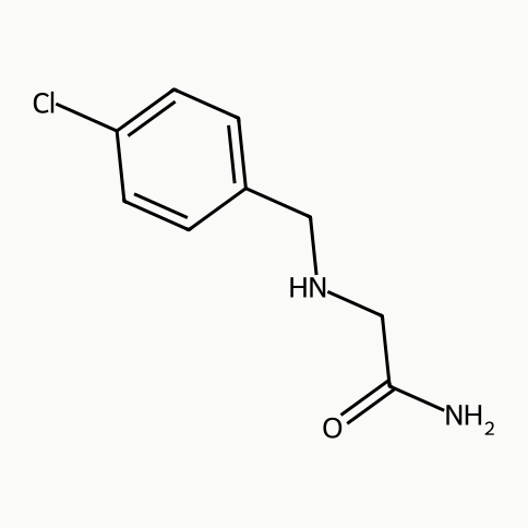 NC(=O)CNCc1ccc(Cl)cc1